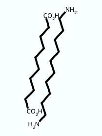 NCCCCCCCCCCN.O=C(O)CCCCCCCCC(=O)O